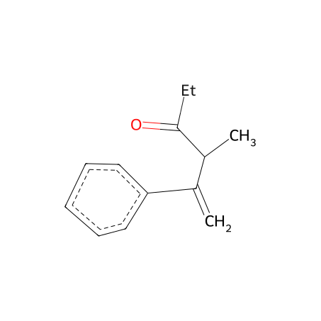 C=C(c1ccccc1)C(C)C(=O)CC